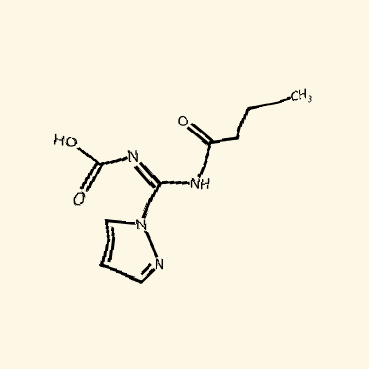 CCCC(=O)NC(=NC(=O)O)n1cccn1